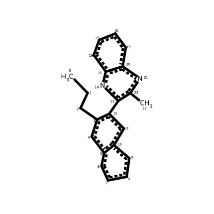 CCCc1cc2ccccc2cc1-c1nc2ccccc2nc1C